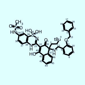 CC(C)(C)CCC1(NCc2ccccc2OCc2ccccc2)C(=O)C(C2=NS(O)(O)c3cc(NS(C)(=O)=O)ccc3N2)=C(O)c2ccccc21